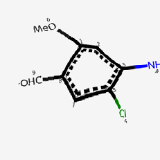 COc1cc(N)c(Cl)cc1[C]=O